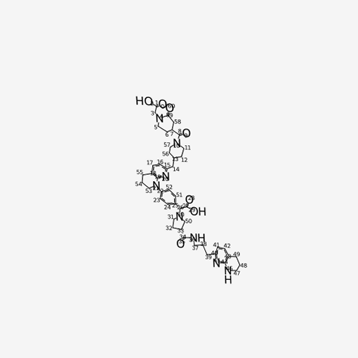 O=C(O)CN1CCC(C(=O)N2CCC(Cc3ccc4c(n3)N(c3ccc([C@H](C(=O)O)N5CC[C@@H](C(=O)NCCCc6ccc7c(n6)NCCC7)C5)cc3)CCC4)CC2)CC1=O